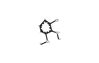 COc1cccc(Cl)c1OC